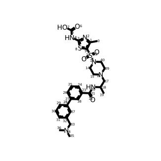 Cc1nc(NC(=O)O)sc1S(=O)(=O)N1CCN(CC(C)NC(=O)c2cccc(-c3cccc(CN(C)C)c3)c2)CC1